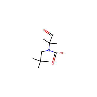 CC(C)(C)CN(C(=O)O)C(C)(C)C=O